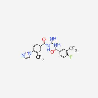 N=C(NC(=O)c1ccc(F)c(C(F)(F)F)c1)NC(=O)c1ccc(-n2ccnc2)c(C(F)(F)F)c1